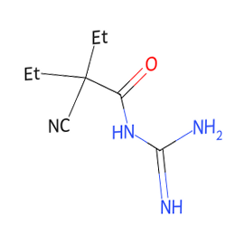 CCC(C#N)(CC)C(=O)NC(=N)N